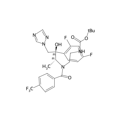 C[C@@H](N(CCNC(=O)OC(C)(C)C)C(=O)c1ccc(C(F)(F)F)cc1)[C@](O)(Cn1cncn1)c1ccc(F)cc1F